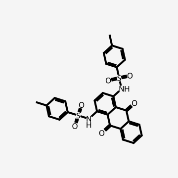 Cc1ccc(S(=O)(=O)Nc2ccc(NS(=O)(=O)c3ccc(C)cc3)c3c2C(=O)c2ccccc2C3=O)cc1